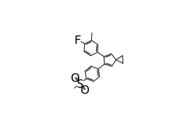 Cc1cc(C2=CC3(C=C2c2ccc(S(C)(=O)=O)cc2)CC3)ccc1F